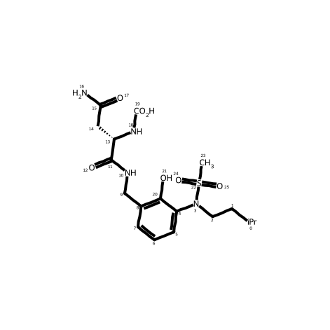 CC(C)CCN(c1cccc(CNC(=O)[C@H](CC(N)=O)NC(=O)O)c1O)S(C)(=O)=O